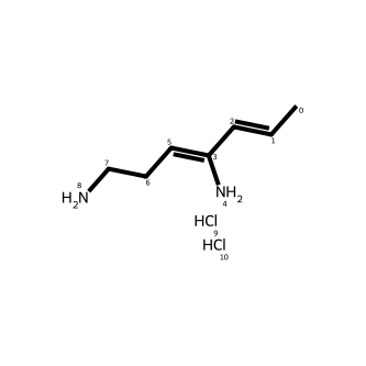 CC=CC(N)=CCCN.Cl.Cl